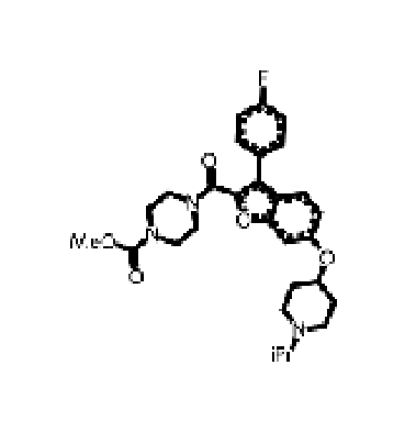 COC(=O)N1CCN(C(=O)c2oc3cc(OC4CCN(C(C)C)CC4)ccc3c2-c2ccc(F)cc2)CC1